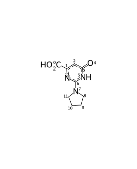 O=C(O)c1cc(=O)[nH]c(N2CCCC2)n1